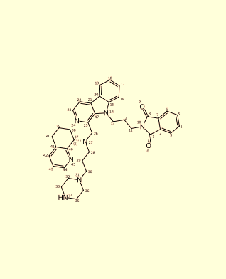 O=C1c2ccccc2C(=O)N1CCCn1c2ccccc2c2ccnc(CN(CCCN3CCNCC3)[C@H]3CCCc4cccnc43)c21